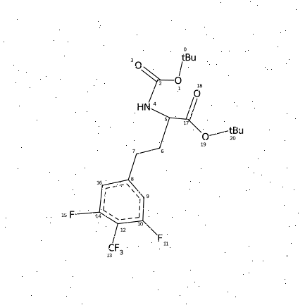 CC(C)(C)OC(=O)NC(CCc1cc(F)c(C(F)(F)F)c(F)c1)C(=O)OC(C)(C)C